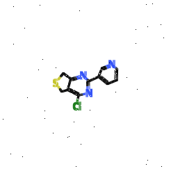 Clc1nc(-c2cccnc2)nc2c1CSC2